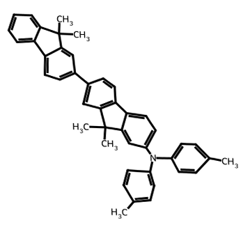 Cc1ccc(N(c2ccc(C)cc2)c2ccc3c(c2)C(C)(C)c2cc(-c4ccc5c(c4)C(C)(C)c4ccccc4-5)ccc2-3)cc1